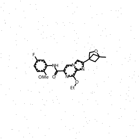 CCOc1nc(C(=O)Nc2cc(F)ccc2OC)cn2cc(C34COC(C)(C3)C4)nc12